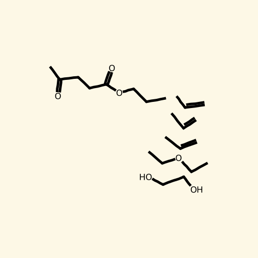 C=CC.C=CC.C=CC.CCCOC(=O)CCC(C)=O.CCOCC.OCCO